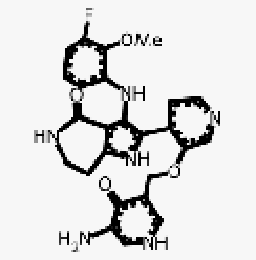 COc1c(F)cccc1Nc1c(-c2ccncc2OCc2c[nH]cc(N)c2=O)[nH]c2c1C(=O)NCC2